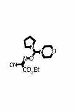 [C-]#[N+]C(=NOC(N1CCCC1)N1CCOCC1)C(=O)OCC